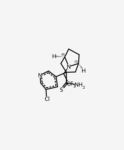 NC(=S)C1(c2cncc(Cl)c2)C[C@H]2CC[C@@H](C1)N2CC(F)(F)F